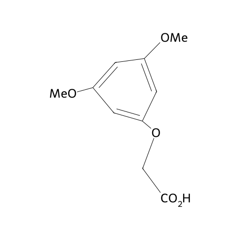 COc1cc(OC)cc(OCC(=O)O)c1